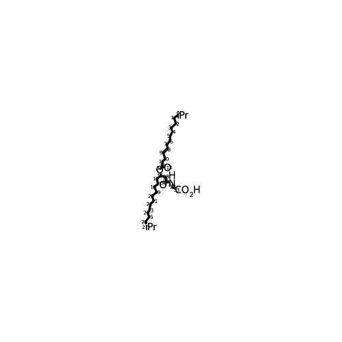 CC(C)CCCCCCC/C=C/CCC(=O)OC(CCCCCCCCCCCC(C)C)CC(=O)NCC(=O)O